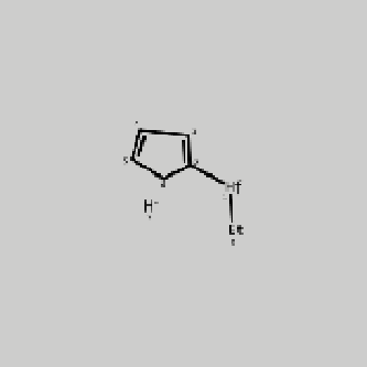 C[CH2][Hf][C]1=CC=CC1.[H-]